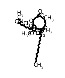 CCCCCCCCCCCCCCCC(=O)OC1CC(C(C)C(OC)/C(C)=C/C=C/C(C)=C/c2coc(C)n2)OC(=O)C2OC2CC2CC(=O)OC(C2)C(C)/C=C\C2OC21C